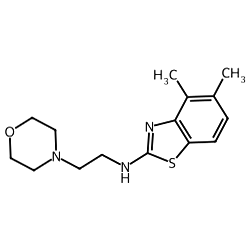 Cc1ccc2sc(NCCN3CCOCC3)nc2c1C